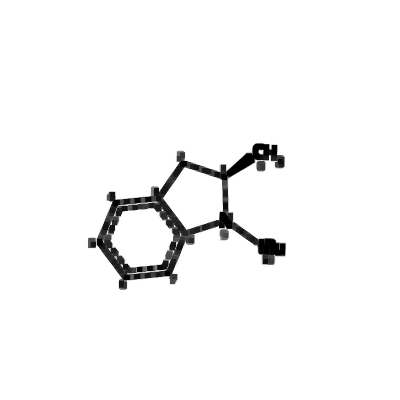 C[C@@H]1Cc2ccccc2N1C(C)(C)C